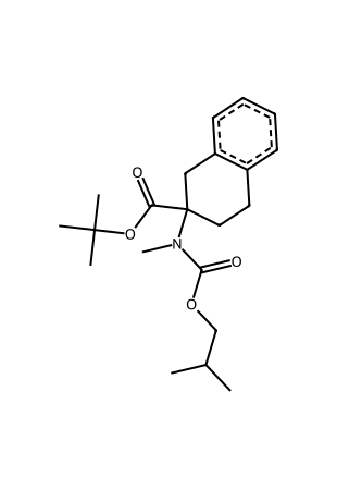 CC(C)COC(=O)N(C)C1(C(=O)OC(C)(C)C)CCc2ccccc2C1